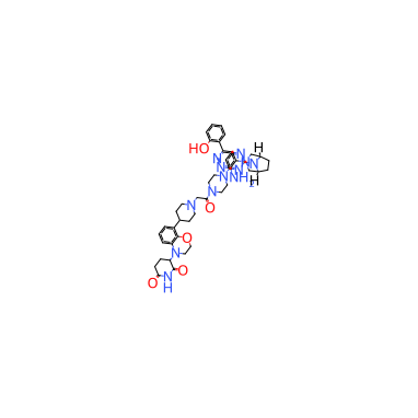 Nc1nnc(-c2ccccc2O)cc1N1C[C@H]2CC[C@@H](C1)N2c1nccc(N2CCN(C(=O)CN3CCC(c4cccc5c4OCCN5[C@@H]4CCC(=O)NC4=O)CC3)CC2)n1